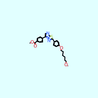 COCCCCCCOc1ccc(-c2nn3c(-c4ccc(C(=O)OC)cc4)cnc3s2)cc1